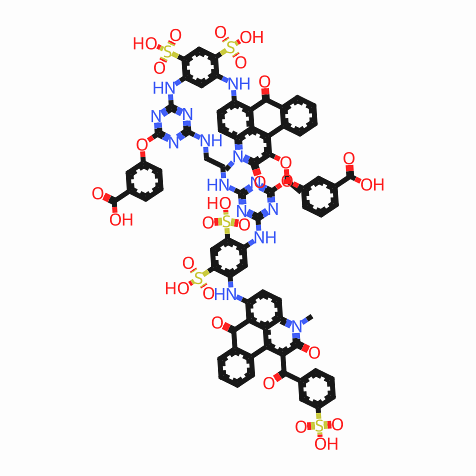 CCOc1c2c3c(c(Nc4cc(Nc5nc(NCCNc6nc(Nc7cc(Nc8ccc9c%10c8C(=O)c8ccccc8-c%10c(C(=O)c8cccc(S(=O)(=O)O)c8)c(=O)n9C)c(S(=O)(=O)O)cc7S(=O)(=O)O)nc(Oc7cccc(C(=O)O)c7)n6)nc(Oc6cccc(C(=O)O)c6)n5)c(S(=O)(=O)O)cc4S(=O)(=O)O)ccc3n(C)c1=O)C(=O)c1ccccc1-2